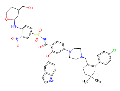 CC1(C)CCC(CN2CCN(c3ccc(C(=O)NS(=O)(=O)c4ccc(NC5CC(CO)CCO5)c([N+](=O)[O-])c4)c(Oc4ccc5[nH]ccc5c4)c3)CC2)=C(c2ccc(Cl)cc2)C1